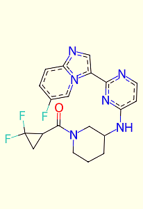 O=C(C1CC1(F)F)N1CCCC(Nc2ccnc(-c3cnc4ccc(F)cn34)n2)C1